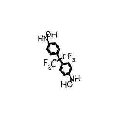 ONc1ccc(C(c2ccc(NO)cc2)(C(F)(F)F)C(F)(F)F)cc1